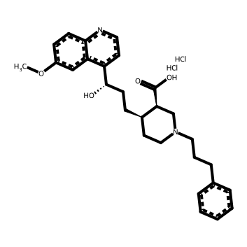 COc1ccc2nccc([C@@H](O)CC[C@@H]3CCN(CCCc4ccccc4)C[C@@H]3C(=O)O)c2c1.Cl.Cl